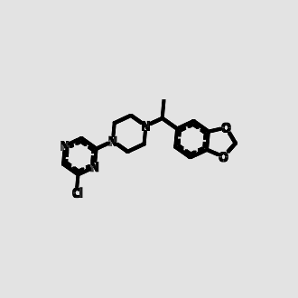 CC(c1ccc2c(c1)OCO2)N1CCN(c2cncc(Cl)n2)CC1